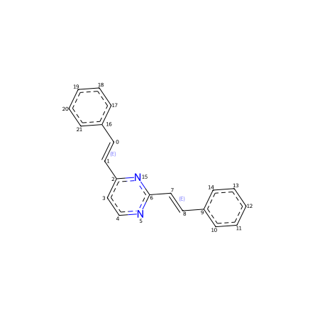 C(=C\c1ccnc(/C=C/c2ccccc2)n1)/c1ccccc1